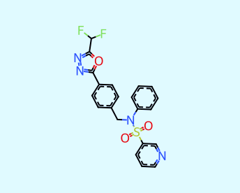 O=S(=O)(c1cccnc1)N(Cc1ccc(-c2nnc(C(F)F)o2)cc1)c1ccccc1